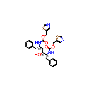 O=C(N[C@@H](Cc1ccccc1)C[C@H](O)[C@H](Cc1ccccc1)NC(=O)OCc1cncs1)OCc1cncs1